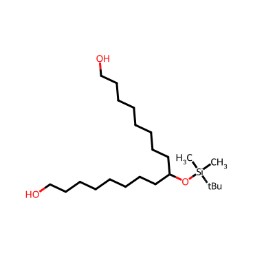 CC(C)(C)[Si](C)(C)OC(CCCCCCCCO)CCCCCCCCO